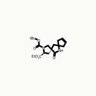 CCOC(=O)[C@@H]1C[C@]2(CN1C(=O)OC(C)(C)C)CC1(CC=CC1)NC2=O